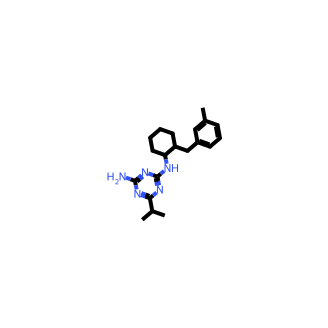 Cc1cccc(CC2CCCCC2Nc2nc(N)nc(C(C)C)n2)c1